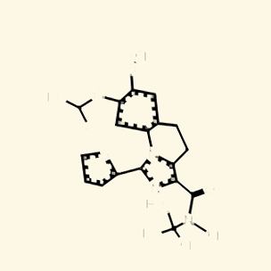 COc1cc2c(cc1OC(C)C)-n1c(-c3cccs3)nc(C(=O)N(C)C(C)(C)C)c1CC2